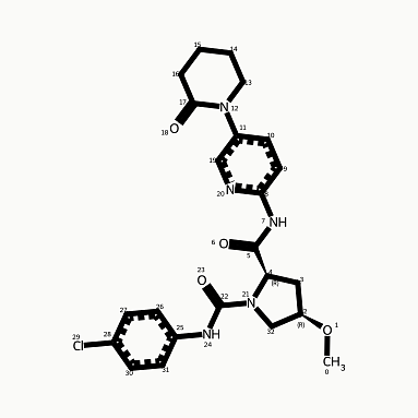 CO[C@@H]1C[C@H](C(=O)Nc2ccc(N3CCCCC3=O)cn2)N(C(=O)Nc2ccc(Cl)cc2)C1